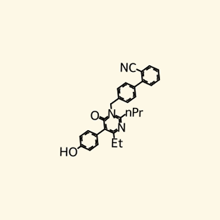 CCCc1nc(CC)c(-c2ccc(O)cc2)c(=O)n1Cc1ccc(-c2ccccc2C#N)cc1